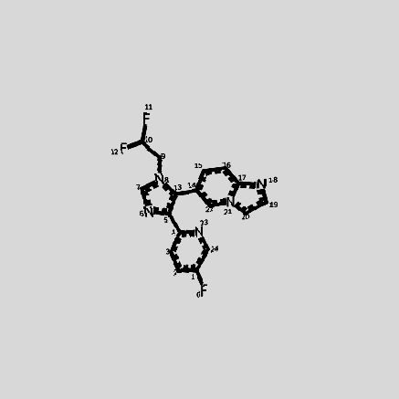 Fc1ccc(-c2ncn(CC(F)F)c2-c2ccc3nccn3c2)nc1